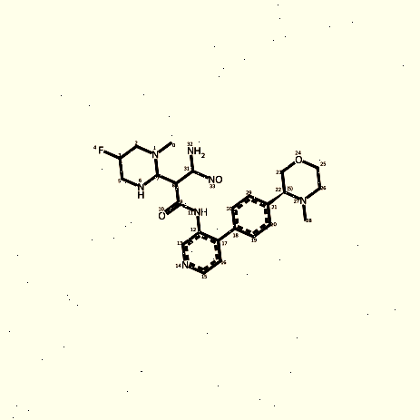 CN1CC(F)CNC1C(C(=O)Nc1cnccc1-c1ccc([C@H]2COCCN2C)cc1)C(N)N=O